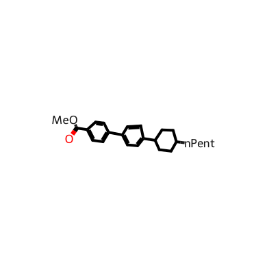 CCCCCC1CCC(c2ccc(-c3ccc(C(=O)OC)cc3)cc2)CC1